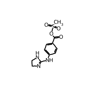 CS(=O)(=O)OC(=O)c1ccc(NC2=NCCN2)cc1